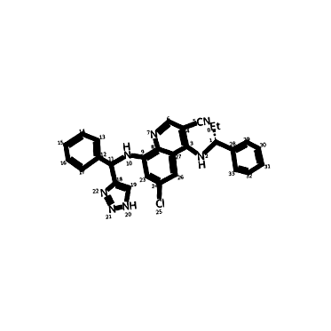 CC[C@@H](Nc1c(C#N)cnc2c(NC(c3ccccc3)c3c[nH]nn3)cc(Cl)cc12)c1ccccc1